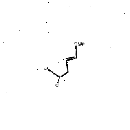 COC=CCI(Cl)Cl